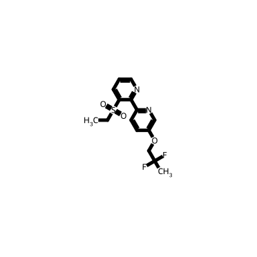 CCS(=O)(=O)c1cccnc1-c1ccc(OCC(C)(F)F)cn1